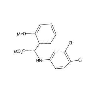 CCOC(=O)C(Nc1ccc(Cl)c(Cl)c1)c1ccccc1OC